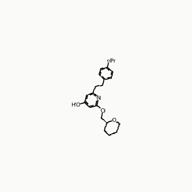 CCCc1ccc(CCc2cc(O)cc(OC[C@@H]3CCCCO3)n2)cc1